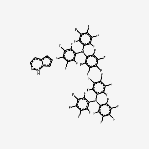 Fc1c(F)c(F)[c]([Al]([c]2c(F)c(F)c(F)c(F)c2F)[c]2c(F)c(F)c(F)c(F)c2F)c(F)c1F.Fc1c(F)c(F)[c]([Al]([c]2c(F)c(F)c(F)c(F)c2F)[c]2c(F)c(F)c(F)c(F)c2F)c(F)c1F.c1cc2ccn[nH]c-2c1